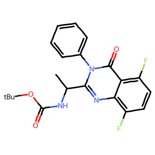 CC(NC(=O)OC(C)(C)C)c1nc2c(F)ccc(F)c2c(=O)n1-c1ccccc1